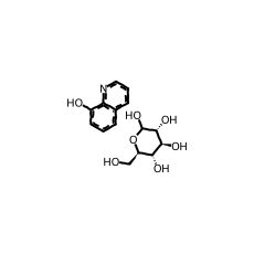 OC[C@H]1OC(O)[C@H](O)[C@@H](O)[C@@H]1O.Oc1cccc2cccnc12